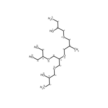 CCC(O)COCC(C)COC(COCC(O)CC)COC(CO)CO